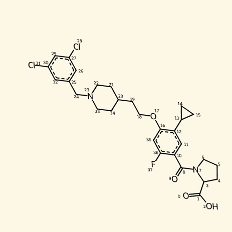 O=C(O)C1CCCN1C(=O)c1cc(C2CC2)c(OCCC2CCN(Cc3cc(Cl)cc(Cl)c3)CC2)cc1F